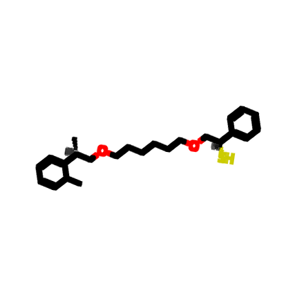 CC1C=CC=C=C1[C@H](C)COCCCCCCOC[C@@H](S)c1ccccc1